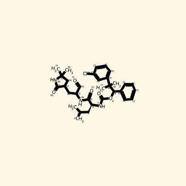 CC(C)C[C@H](NC(=O)OC(c1ccccc1)C(C)(C)c1cccc(Cl)c1)C(=O)NC(C=O)CC1CC(C)(C)NC1=O